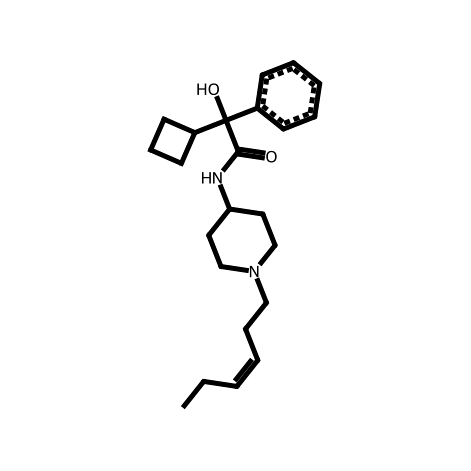 CC/C=C\CCN1CCC(NC(=O)C(O)(c2ccccc2)C2CCC2)CC1